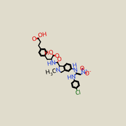 CN1Cc2cc(NC(=C[N+](=O)[O-])Nc3ccc(Cl)cc3)ccc2C1C(=O)NC(Cc1ccc(CCC(=O)O)cc1)C(=O)O